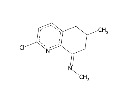 CN=C1CC(C)Cc2ccc(Cl)nc21